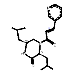 CC(C)C[C@H]1CN(C(=O)/C=C/c2cccnc2)[C@@H](CC(C)C)C(=O)N1